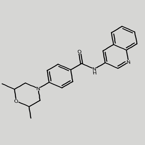 CC1CN(c2ccc(C(=O)Nc3cnc4ccccc4c3)cc2)CC(C)O1